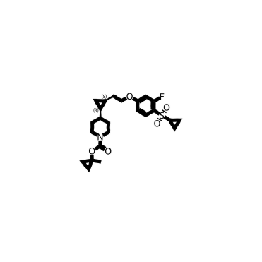 CC1(OC(=O)N2CCC([C@H]3C[C@H]3CCOc3ccc(S(=O)(=O)C4CC4)c(F)c3)CC2)CC1